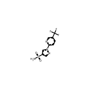 NS(=O)(=O)c1cnn(-c2ccc(C(F)(F)F)cn2)c1